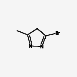 CC1=NN=C(Br)C1